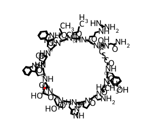 CCCC[C@H]1C(=O)N(C)[C@@H](CCCC)C(=O)N[C@@H](CCCNC(=N)N)C(=O)N[C@H](C(=O)NCC(N)=O)CSCC(=O)N[C@@H](Cc2ccc(O)cc2)C(=O)N(C)[C@@H](C)C(=O)N[C@@H](CN)C(=O)N2CCC[C@H]2C(=O)N[C@@H](Cc2c[nH]cn2)C(=O)N[C@@H](CC(=O)O)C(=O)N2C[C@H](O)C[C@H]2C(=O)N[C@@H](Cc2c[nH]c3ccccc23)C(=O)N[C@@H](CO)C(=O)N[C@@H](Cc2c[nH]c3ccccc23)C(=O)N1C